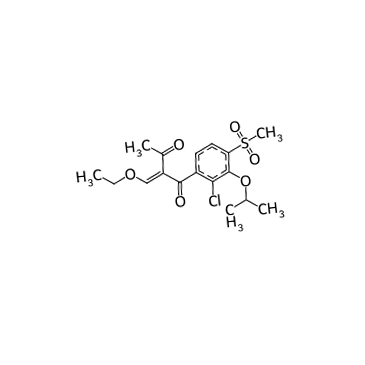 CCOC=C(C(C)=O)C(=O)c1ccc(S(C)(=O)=O)c(OC(C)C)c1Cl